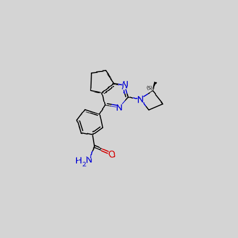 C[C@H]1CCN1c1nc2c(c(-c3cccc(C(N)=O)c3)n1)CCC2